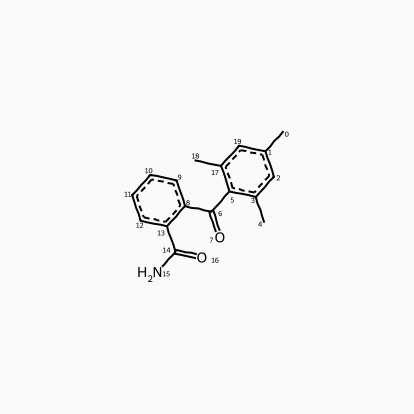 Cc1cc(C)c(C(=O)c2ccccc2C(N)=O)c(C)c1